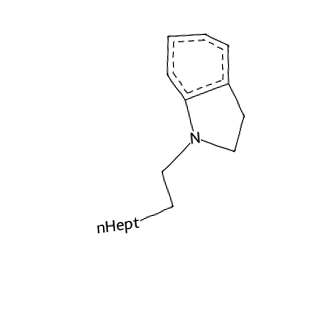 CCCCCCCCCN1CCc2ccccc21